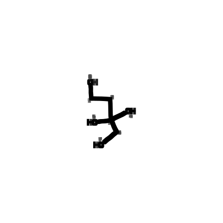 OCCC(O)(O)CO